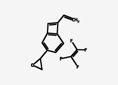 C=CC1=Cc2cc(C3CO3)ccc21.FC(F)=C(F)F